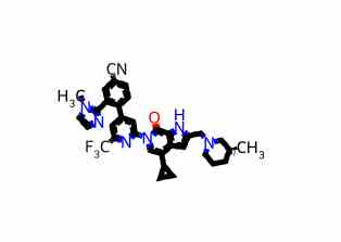 C[C@H]1CCCN(Cc2cc3c(C4CC4)cn(-c4cc(-c5ccc(C#N)cc5-c5nccn5C)cc(C(F)(F)F)n4)c(=O)c3[nH]2)C1